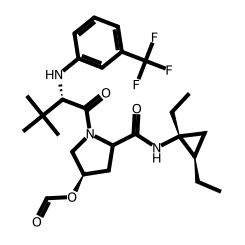 CC[C@@H]1C[C@@]1(CC)NC(=O)C1C[C@@H](OC=O)CN1C(=O)[C@@H](Nc1cccc(C(F)(F)F)c1)C(C)(C)C